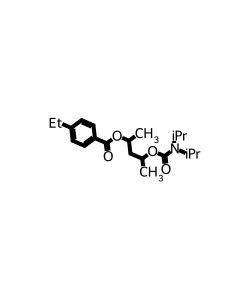 CCc1ccc(C(=O)OC(C)CC(C)OC(=O)N(C(C)C)C(C)C)cc1